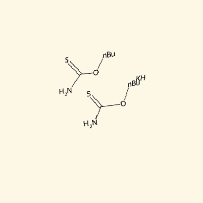 CCCCOC(N)=S.CCCCOC(N)=S.[KH]